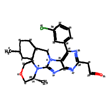 CC1CCC(Cn2c(N3CCOC[C@H]3C)nc3nc(CC=O)nc(-c4cccc(Cl)c4)c32)CC1